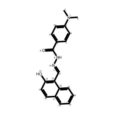 CN(C)c1ccc(C(=O)N/N=C/c2c(O)ccc3ccccc23)cc1